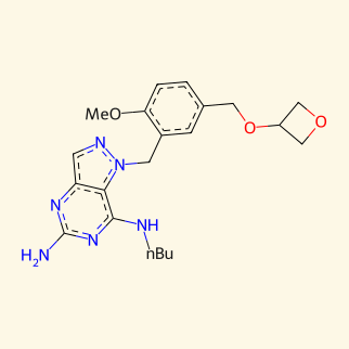 CCCCNc1nc(N)nc2cnn(Cc3cc(COC4COC4)ccc3OC)c12